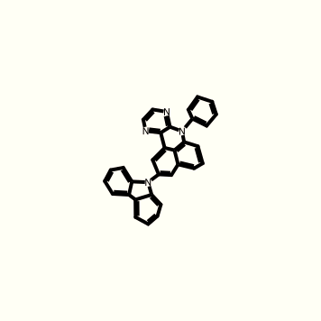 c1ccc(N2c3nccnc3-c3cc(-n4c5ccccc5c5ccccc54)cc4cccc2c34)cc1